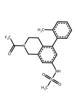 Cc1ccccc1-c1cc(NS(C)(=O)=O)cc2c1CCN(C(=O)C(F)(F)F)C2